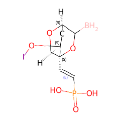 BC1O[C@@]2(/C=C/P(=O)(O)O)CO[C@@H]1C[C@@H]2OI